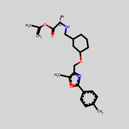 C=C(C)OC(=O)[C@@H](NCC1CCCC(OCc2nc(-c3ccc(C)cc3)oc2C)C1)C(C)C